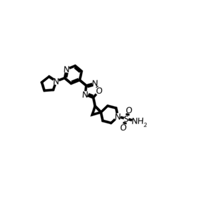 NS(=O)(=O)N1CCC2(CC1)CC2c1nc(-c2ccnc(N3CCCC3)c2)no1